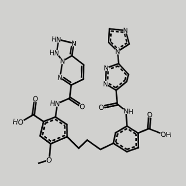 COc1cc(C(=O)O)c(NC(=O)C2=NN3NNN=C3C=C2)cc1CCCc1ccc(C(=O)O)c(NC(=O)c2ccc(-n3ccnc3)nn2)c1